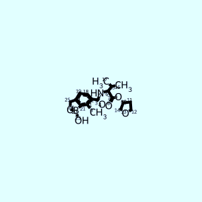 Cc1c(C(=O)NC(C(=O)O[C@@H]2CCOC2)C(C)C)ccc2c1B(O)OC2